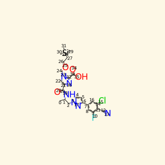 CC(Cn1ccc(-c2cc(F)c(C#N)c(Cl)c2)n1)NC(=O)c1cn(COCC[Si](C)(C)C)c(C(=O)O)n1